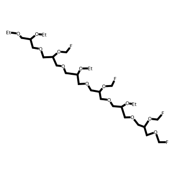 CCOCC(COCC(COCC(COCC(COCC(COCC(COCF)OCF)OCC)OCF)OCC)OCF)OCC